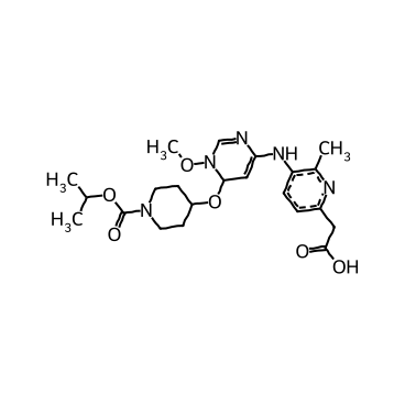 CON1C=NC(Nc2ccc(CC(=O)O)nc2C)=CC1OC1CCN(C(=O)OC(C)C)CC1